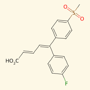 CS(=O)(=O)c1ccc(C(=CC=CC(=O)O)c2ccc(F)cc2)cc1